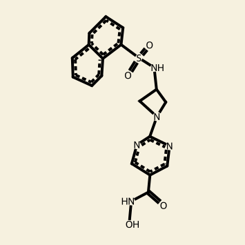 O=C(NO)c1cnc(N2CC(NS(=O)(=O)c3cccc4ccccc34)C2)nc1